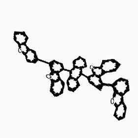 c1ccc2c(c1)oc1ccc(-c3ccc(-c4c5ccccc5c(-c5ccc(-c6cccc7c6oc6ccccc67)c6c5oc5ccccc56)c5ccccc45)c4c3oc3ccccc34)cc12